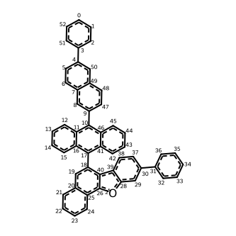 c1ccc(-c2ccc3cc(-c4c5ccccc5c(-c5cc6ccccc6c6oc7cc(-c8ccccc8)ccc7c56)c5ccccc45)ccc3c2)cc1